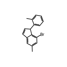 Cc1cc(Br)c2c(c1)C=CC2c1ccccc1C